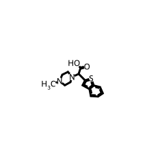 CN1CCN(C(C(=O)O)c2cc3ccccc3s2)CC1